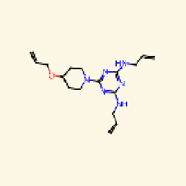 C=CCNc1nc(NCC=C)nc(N2CCC(OCC=C)CC2)n1